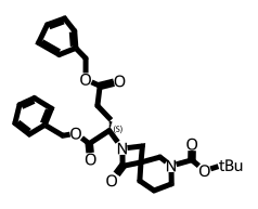 CC(C)(C)OC(=O)N1CCCC2(C1)CN([C@@H](CCC(=O)OCc1ccccc1)C(=O)OCc1ccccc1)C2=O